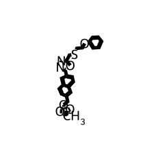 CS(=O)(=O)OCc1ccc2cc(-c3nnc(CSCCOc4ccccc4)o3)ccc2c1